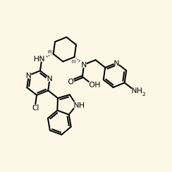 Nc1ccc(CN(C(=O)O)[C@H]2CCC[C@@H](Nc3ncc(Cl)c(-c4c[nH]c5ccccc45)n3)C2)nc1